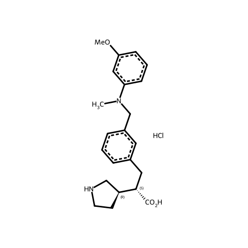 COc1cccc(N(C)Cc2cccc(C[C@H](C(=O)O)[C@H]3CCNC3)c2)c1.Cl